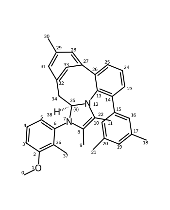 COc1cccc(N2C(C)=C(C)N3c4c(-c5cc(C)cc(C)c5)cccc4-c4cc(C)cc(c4)C[C@H]23)c1C